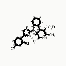 CCOC(=O)C1=C(C)NC(C)C(Nc2nc(-c3ccc(Cl)cc3Cl)cs2)(C(=O)OCC)C1c1ccccc1